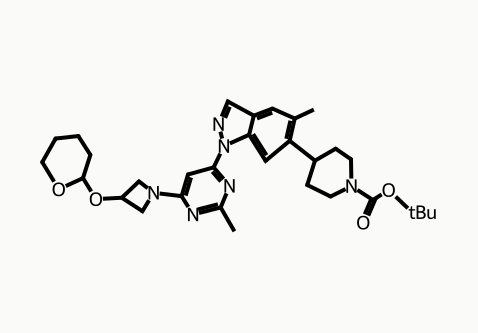 Cc1nc(N2CC(OC3CCCCO3)C2)cc(-n2ncc3cc(C)c(C4CCN(C(=O)OC(C)(C)C)CC4)cc32)n1